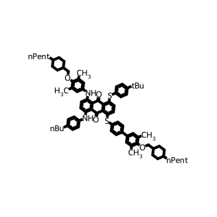 CCCCCC1CCC(COc2c(C)cc(Nc3ccc(Nc4ccc(CCCC)cc4)c4c3C(=O)c3c(Sc5ccc(C(C)(C)C)cc5)ccc(Sc5ccc(-c6cc(C)c(OCC7CCC(CCCCC)CC7)c(C)c6)cc5)c3C4=O)cc2C)CC1